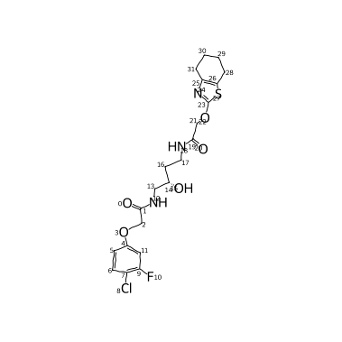 O=C(COc1ccc(Cl)c(F)c1)NC[C@@H](O)CCNC(=O)COc1nc2c(s1)CCCC2